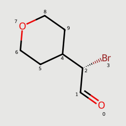 O=C[C@@H](Br)C1CCOCC1